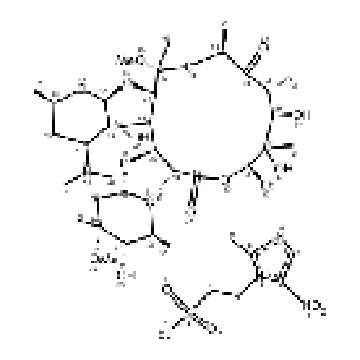 CCS(=O)(=O)CCn1c([N+](=O)[O-])cnc1C.CC[C@H]1OC(=O)[C@H](C)[C@@H](O[C@H]2C[C@@](C)(OC)[C@@H](O)[C@H](C)O2)C(C)[C@@H](O[C@@H]2O[C@H](C)C[C@H](N(C)C)[C@H]2O)[C@](C)(OC)C[C@@H](C)C(=O)[C@H](C)[C@@H](O)[C@]1(C)O